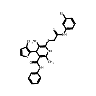 CCc1cccc(NC(=O)CSC2=C(C#N)C(c3sccc3C)C(C(=O)Nc3ccccc3)=C(C)N2)c1